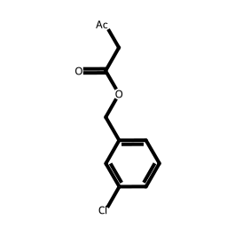 CC(=O)CC(=O)OCc1cccc(Cl)c1